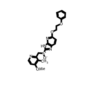 COc1ccnc(C[S+]([O-])c2nc3ccc(OCCOc4ccccc4)nc3[nH]2)c1C